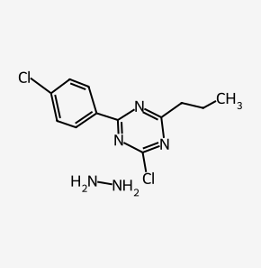 CCCc1nc(Cl)nc(-c2ccc(Cl)cc2)n1.NN